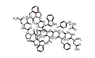 CC(C)[C@H](NC(=O)[C@H](Cc1ccc(O)cc1)NC(=O)[C@H](Cc1ccccc1)NC(=O)[C@H](CC(=O)O)NC(=O)[C@@H](N)CC(=O)O)C(=O)N[C@@H](Cc1c[nH]c2ccccc12)C(=O)N[C@@H](Cc1c[nH]c2ccccc12)C(=O)N1CCC[C@H]1C(=O)N[C@@H](CC(N)=O)C(=O)N[C@@H](Cc1ccccc1)C(=O)N1CCC[C@H]1C(=O)N[C@@H](CCCNC(=N)N)C(=O)O